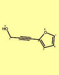 OCC#Cc1ccco1